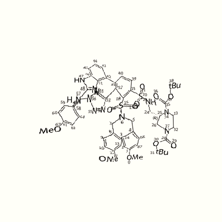 COc1ccc(CN(Cc2ccc(OC)cc2)S(=O)(=O)c2c(S(=O)(=O)NC[C@H]3CN(C(=O)OC(C)(C)C)CCN3C(=O)OC(C)(C)C)ccc(-c3cccc4[nH]c(N)nc34)c2-c2nnn(Cc3ccc(OC)cc3)n2)cc1